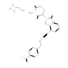 C[Si](C)(C)CCOCN1C(=O)CCC(N2Cc3c(C#CCCc4ccc(C(N)=O)cc4)cccc3C2=O)C1=O